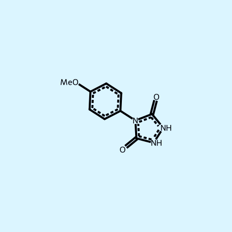 COc1ccc(-n2c(=O)[nH][nH]c2=O)cc1